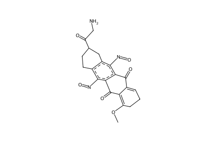 COC1=C2C(=O)c3c(N=O)c4c(c(N=O)c3C(=O)C2=CCC1)CC(C(=O)CN)CC4